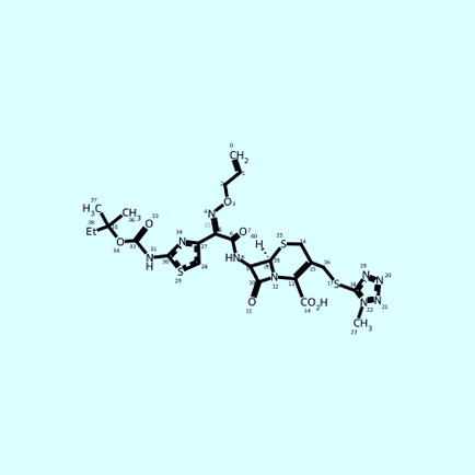 C=CCO/N=C(\C(=O)NC1C(=O)N2C(C(=O)O)=C(CSc3nnnn3C)CS[C@H]12)c1csc(NC(=O)OC(C)(C)CC)n1